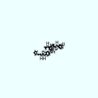 O=C(NCCN1CCCC1)N[C@H]1CC[C@H](Nc2cc(NC3CC3)c3ncc(C(=O)Nc4ccnc(Cl)c4)n3n2)CC1